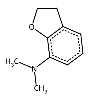 CN(C)c1cccc2c1OCC2